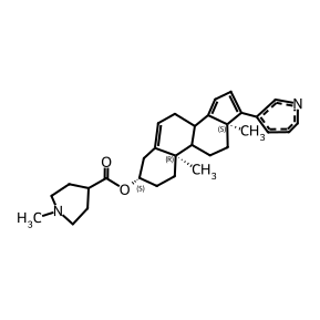 CN1CCC(C(=O)O[C@H]2CC[C@@]3(C)C(=CCC4C5=CC=C(c6cccnc6)[C@@]5(C)CCC43)C2)CC1